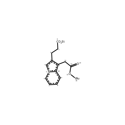 CCOC(=O)CCc1cn2ccccc2c1CC(=O)OC(C)(C)C